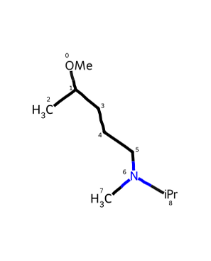 COC(C)CCCN(C)C(C)C